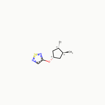 CC[C@H]1C[C@@H](Oc2cnsn2)C[C@@H]1C